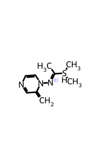 C=C1C=NC=CN1/N=C(\C)[SH](C)C